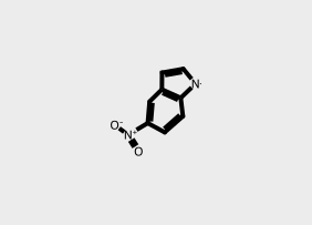 O=[N+]([O-])c1ccc2c(c1)C=C[N]2